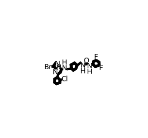 O=C(NCc1ccc(CNc2cc(-c3ccccc3Cl)nc3c(Br)cnn23)cc1)Nc1cc(F)cc(F)c1